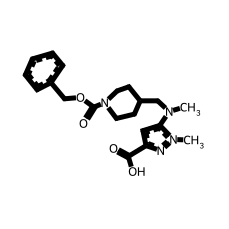 CN(CC1CCN(C(=O)OCc2ccccc2)CC1)c1cc(C(=O)O)nn1C